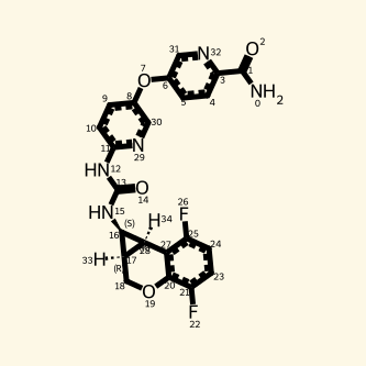 NC(=O)c1ccc(Oc2ccc(NC(=O)N[C@@H]3[C@@H]4COc5c(F)ccc(F)c5[C@@H]43)nc2)cn1